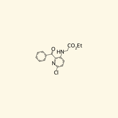 CCOC(=O)CNc1ccc(Cl)nc1C(=O)c1ccccc1